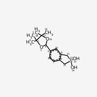 CC1(C)OC(c2ccc3c(c2)CS(O)(O)C3)OC1(C)C